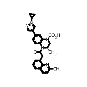 Cc1ccc2cccc(CC(=O)N3c4ccc(-c5cnn(C6CC6)c5)cc4N(C(=O)O)C[C@@H]3C)c2n1